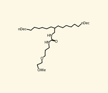 CCCCCCCCCCCCCCCCC(CCCCCCCCCCCCCCCC)CNC(=O)NCCCOCCOC